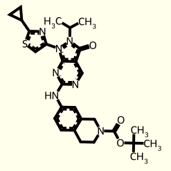 CC(C)n1c(=O)c2cnc(Nc3ccc4c(c3)CN(C(=O)OC(C)(C)C)CC4)nc2n1-c1csc(C2CC2)n1